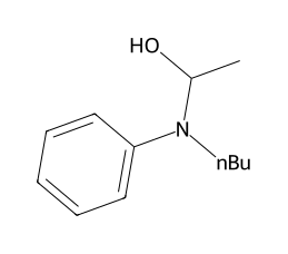 CCCCN(c1ccccc1)C(C)O